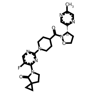 Cc1cnc([C@@H]2CCON2C(=O)C2CCN(c3ncc(F)c(N4CCC5(CC5)C4=O)n3)CC2)cn1